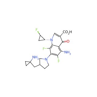 Nc1c(F)c(N2CCC(CC3(N)CC3)C2)c(F)c2c1c(=O)c(C(=O)O)cn2[C@@H]1C[C@H]1F